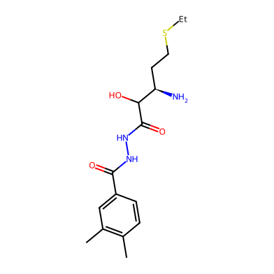 CCSCC[C@@H](N)C(O)C(=O)NNC(=O)c1ccc(C)c(C)c1